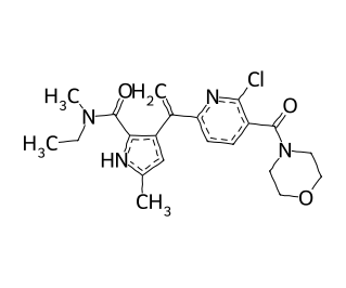 C=C(c1ccc(C(=O)N2CCOCC2)c(Cl)n1)c1cc(C)[nH]c1C(=O)N(C)CC